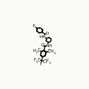 Cc1cc(C(F)(C(F)(F)F)C(F)(F)F)cc(C)c1C(=O)Nc1cccc(NC(=O)c2ccc(F)cc2)c1